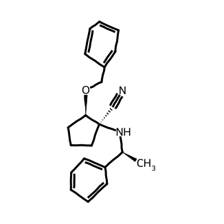 C[C@H](N[C@@]1(C#N)CCC[C@H]1OCc1ccccc1)c1ccccc1